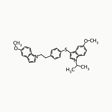 COc1ccc2c(ccn2CCc2ccc(Sc3cn(C(C)C)c4ccc(OC)cc34)cc2)c1